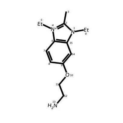 CCn1c(C)[n+](CC)c2ccc(OCCN)cc21